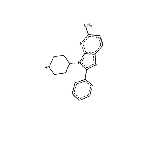 Cc1ccc2nc(-c3ccccc3)n(C3CCNCC3)c2n1